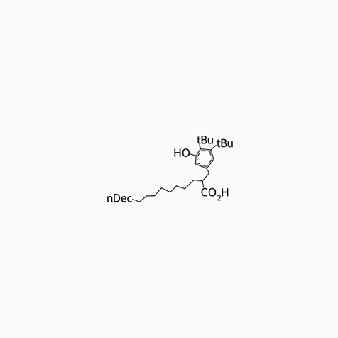 CCCCCCCCCCCCCCCCCCC(Cc1cc(O)c(C(C)(C)C)c(C(C)(C)C)c1)C(=O)O